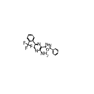 Nc1ncc(-c2ccccc2C(F)(F)F)nc1-c1nnc(-c2ccccc2)o1